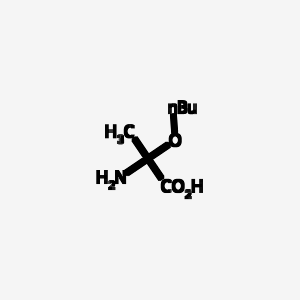 CCCCOC(C)(N)C(=O)O